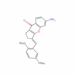 COc1ccc(OC)c(C=C2CCc3c2oc2cc(N)ccc2c3=O)c1